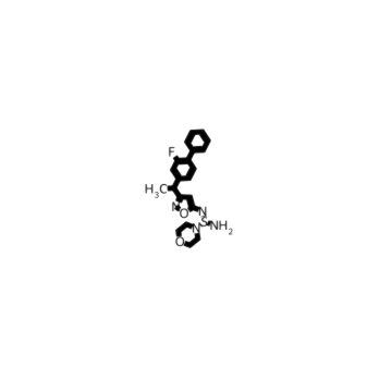 CC(c1ccc(-c2ccccc2)c(F)c1)c1cc(N=S(N)N2CCOCC2)on1